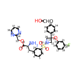 N[C@@H](Cc1cccc(S(=O)(=O)N2CC(Oc3cccc(F)c3)(c3ccccc3)C2)c1)C(=O)OCc1ncccn1.O=CO